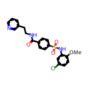 COc1ccc(Cl)cc1NS(=O)(=O)c1ccc(C(=O)NCCc2cccnc2)cc1